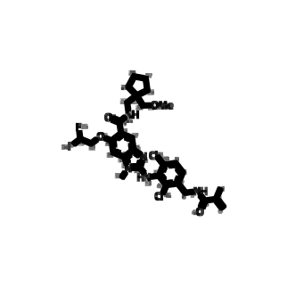 C=C(C)C(=O)NCc1ccc(Cl)c(Nc2nc3cc(C(=O)NCC4(COC)CCCC4)c(OCC(F)F)cc3n2C)c1Cl